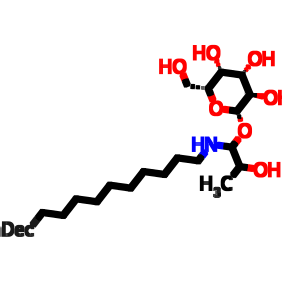 CCCCCCCCCCCCCCCCCCCCNC(O[C@@H]1O[C@H](CO)[C@H](O)[C@H](O)[C@H]1O)C(C)O